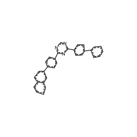 c1ccc(-c2ccc(-c3ncnc(-c4ccc(-c5ccc6ccccc6c5)cc4)n3)cc2)cc1